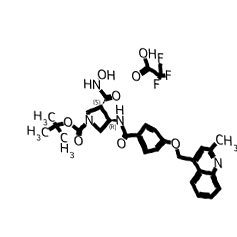 Cc1cc(COc2ccc(C(=O)N[C@H]3CN(C(=O)OC(C)(C)C)C[C@@H]3C(=O)NO)cc2)c2ccccc2n1.O=C(O)C(F)(F)F